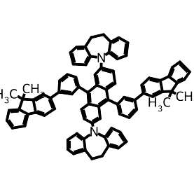 CC1(C)c2ccccc2-c2ccc(-c3cccc(-c4c5ccc(N6c7ccccc7CCc7ccccc76)cc5c(-c5cccc(-c6ccc7c(c6)C(C)(C)c6ccccc6-7)c5)c5ccc(N6c7ccccc7CCc7ccccc76)cc45)c3)cc21